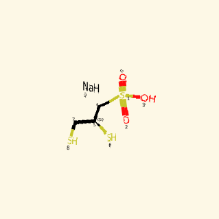 O=S(=O)(O)C[C@@H](S)CS.[NaH]